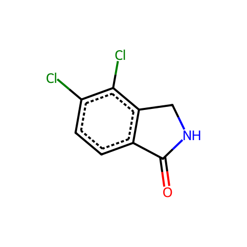 O=C1NCc2c1ccc(Cl)c2Cl